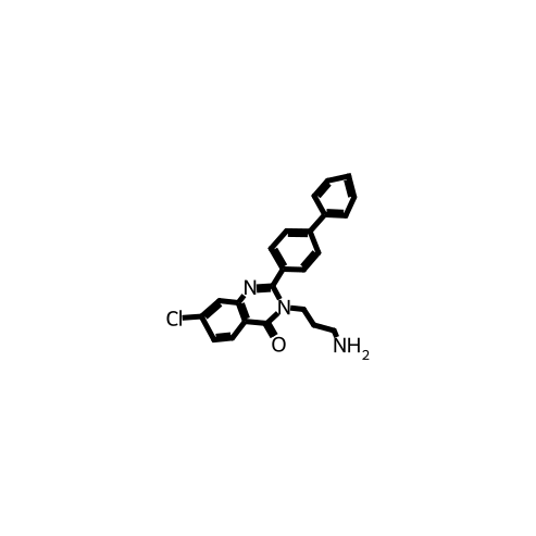 NCCCn1c(-c2ccc(-c3ccccc3)cc2)nc2cc(Cl)ccc2c1=O